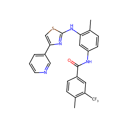 Cc1ccc(NC(=O)c2ccc(C)c(C(F)(F)F)c2)cc1Nc1nc(-c2cccnc2)cs1